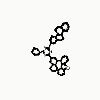 c1ccc(-c2nc(-c3cc(-c4cccc5oc6ccccc6c45)c4ccccc4c3)nc(-c3ccc4c(ccc5c6ccccc6ccc45)c3)n2)cc1